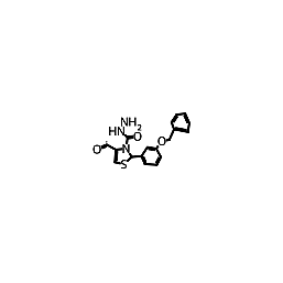 NNC(=O)N1C([C]=O)=CSC1c1cccc(OCc2ccccc2)c1